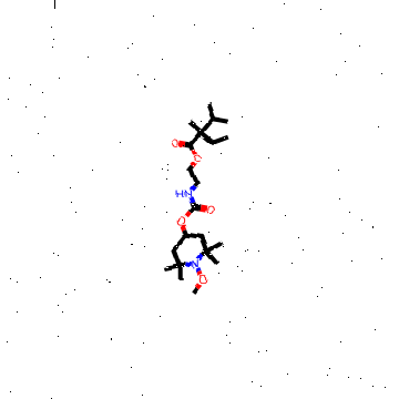 CCC(C)(C(=O)OCCNC(=O)OC1CC(C)(C)N(OC)C(C)(C)C1)C(C)C